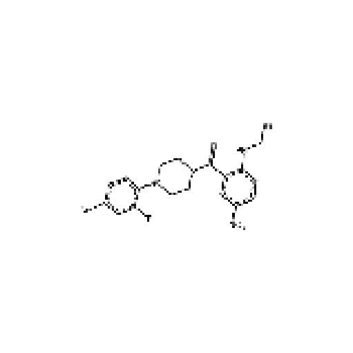 CC(=O)c1ccc(N2CCN(C(=O)c3cc([N+](=O)[O-])ccc3NCC(C)C)CC2)c(F)c1